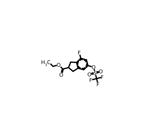 CCOC(=O)C1Cc2cc(OS(=O)(=O)C(F)(F)F)cc(F)c2C1